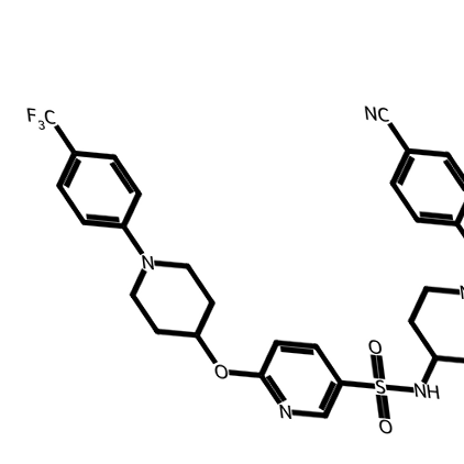 N#Cc1ccc(CN2CCC(NS(=O)(=O)c3ccc(OC4CCN(c5ccc(C(F)(F)F)cc5)CC4)nc3)CC2)cc1